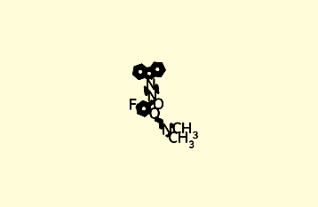 CCN(CC)CCCOc1ccc(F)cc1C(=O)N1CCN(C2c3ccccc3-c3ccccc32)CC1